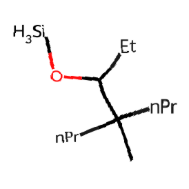 CCCC(C)(CCC)C(CC)O[SiH3]